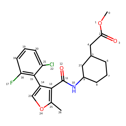 COC(=O)CC1CCCC(NC(=O)c2c(-c3c(F)cccc3Cl)coc2C)C1